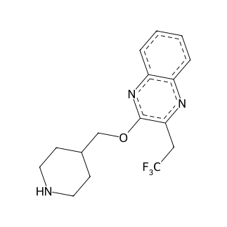 FC(F)(F)Cc1nc2ccccc2nc1OCC1CCNCC1